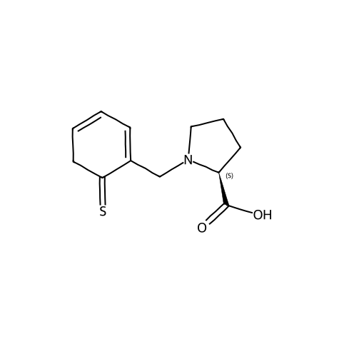 O=C(O)[C@@H]1CCCN1CC1=CC=CCC1=S